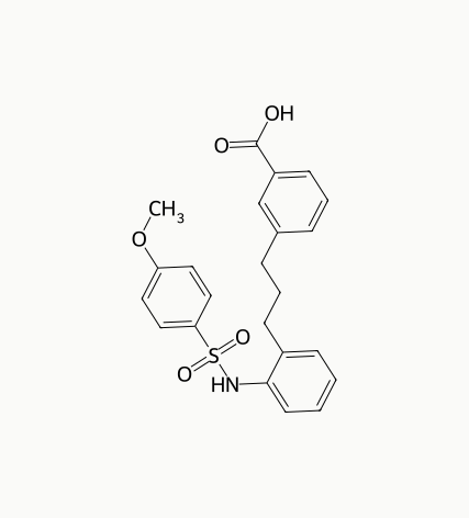 COc1ccc(S(=O)(=O)Nc2ccccc2CCCc2cccc(C(=O)O)c2)cc1